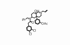 C=CCN1CCC2(c3cccc(OC(C)=O)c3)CC(N(CC(C)C)C(=O)Cc3ccc(Cl)c(Cl)c3)CCC2(O)C1